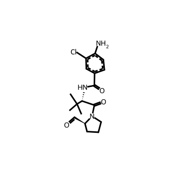 CC(C)(C)[C@H](NC(=O)c1ccc(N)c(Cl)c1)C(=O)N1CCC[C@H]1C=O